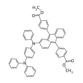 COC(=O)c1ccc(-c2c3ccccc3c(-c3ccc(C(=O)OC)cc3)c3cc(N(c4ccccc4)c4ccc(N(c5ccccc5)c5ccccc5)cc4)ccc23)cc1